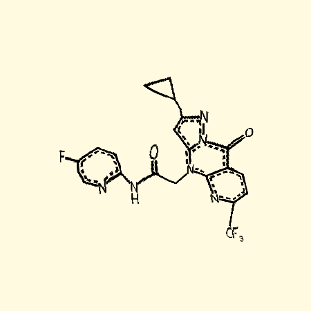 O=C(Cn1c2nc(C(F)(F)F)ccc2c(=O)n2nc(C3CC3)cc12)Nc1ccc(F)cn1